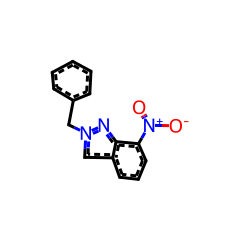 O=[N+]([O-])c1cccc2cn(Cc3ccccc3)nc12